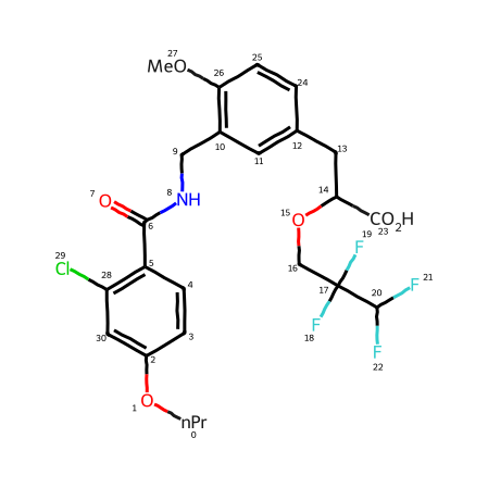 CCCOc1ccc(C(=O)NCc2cc(CC(OCC(F)(F)C(F)F)C(=O)O)ccc2OC)c(Cl)c1